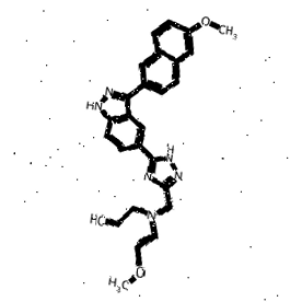 COCCN(CCO)Cc1n[nH]c(-c2ccc3[nH]nc(-c4ccc5cc(OC)ccc5c4)c3c2)n1